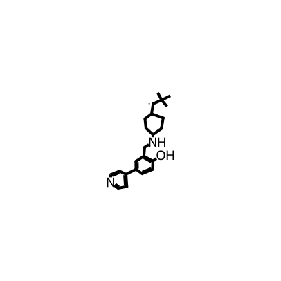 CC(C)(C)[CH]C1CCC(NCc2cc(-c3ccncc3)ccc2O)CC1